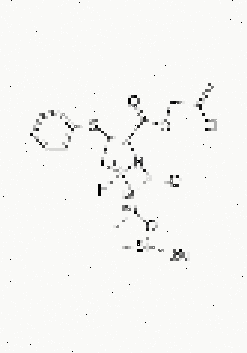 C=C(Cl)COC(=O)C1=C(Sc2ccccc2)C[C@@H]2[C@@H]([C@@H](C)O[Si](C)(C)C(C)(C)C)C(=O)N12